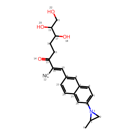 CC1CN1c1ccc2cc(/C=C(\C#N)C(=O)CCC(O)C(O)CO)ccc2c1